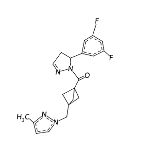 Cc1ccn(CC23CC(C(=O)N4N=CCC4c4cc(F)cc(F)c4)(C2)C3)n1